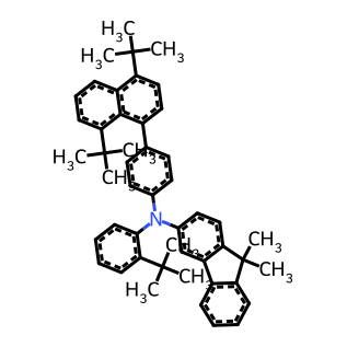 CC(C)(C)c1ccccc1N(c1ccc(-c2ccc(C(C)(C)C)c3cccc(C(C)(C)C)c23)cc1)c1ccc2c(c1)-c1ccccc1C2(C)C